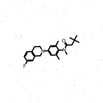 Cc1cc(N2CCc3ccc(F)cc3C2)cc(C)c1N(C)C(=O)CC(C)(C)C